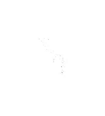 COC(=O)N[C@H](C(=O)N1CCC[C@H]1C(=O)Nc1ccc([C@@H]2CC[C@@H](c3ccc(NC(=O)[C@@H]4CCCN4C(=O)[C@@H](NC(=O)OC)[C@@H](C)OC)cc3)N2c2ccc([SiH2]C)cc2)cc1)[C@@H](C)OC